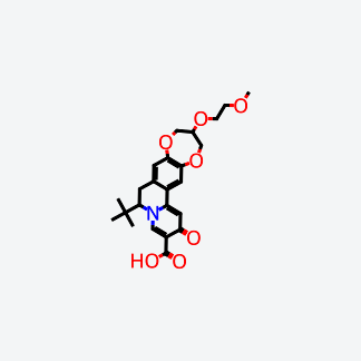 COCCOC1COc2cc3c(cc2OC1)-c1cc(=O)c(C(=O)O)cn1C(C(C)(C)C)C3